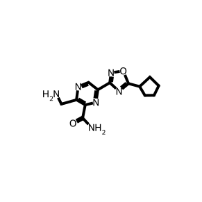 NCc1ncc(-c2noc(C3CCCC3)n2)nc1C(N)=O